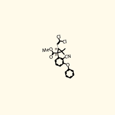 COC(=O)[C@]1(c2cccc(Oc3ccccc3)c2C#N)[C@H](C=C(Cl)Cl)C1(C)C